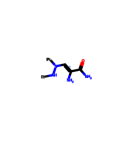 CCNN(/C=C(\N)C(N)=O)C(C)C